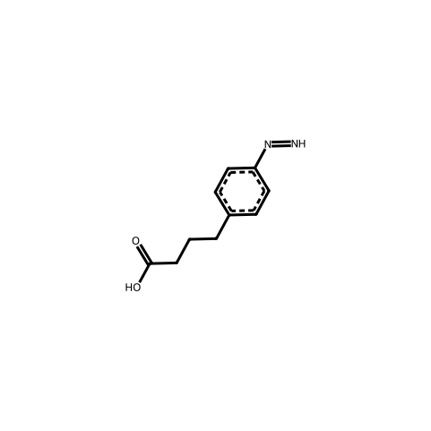 N=Nc1ccc(CCCC(=O)O)cc1